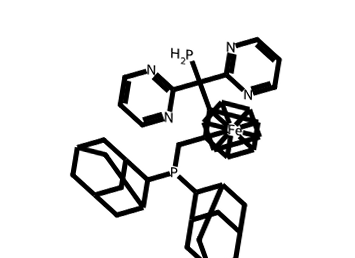 PC(c1ncccn1)(c1ncccn1)[C]12[CH]3[CH]4[CH]5[C]1(CP(C1C6CC7CC(C6)CC1C7)C1C6CC7CC(C6)CC1C7)[Fe]45321678[CH]2[CH]1[CH]6[CH]7[CH]28